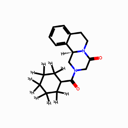 [2H]C1([2H])C(C(=O)N2CC(=O)N3CCc4ccccc4[C@@H]3C2)C([2H])([2H])C([2H])([2H])C([2H])([2H])C1([2H])[2H]